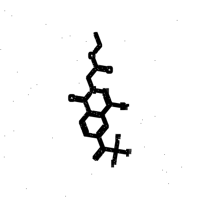 C=C(c1ccc2c(=O)n(CC(=O)OCC)nc(Br)c2c1)C(F)(F)F